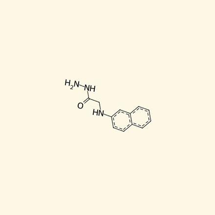 NNC(=O)CNc1ccc2ccccc2c1